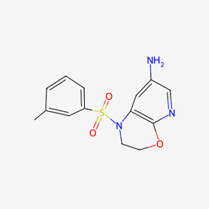 Cc1cccc(S(=O)(=O)N2CCOc3ncc(N)cc32)c1